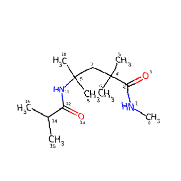 CNC(=O)C(C)(C)CC(C)(C)NC(=O)C(C)C